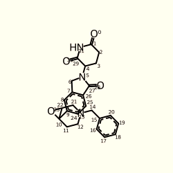 O=C1CCC(N2Cc3cc(C45CCN(Cc6ccccc6)CC4O5)ccc3C2=O)C(=O)N1